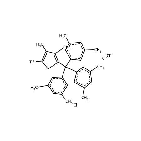 CC1=[C]([Ti+3])CC(C(c2cc(C)cc(C)c2)(c2cc(C)cc(C)c2)c2cc(C)cc(C)c2)=C1C.[Cl-].[Cl-].[Cl-]